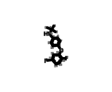 CC(C)(C)Nc1ccc(Oc2cc(F)ccc2F)cc1